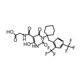 O=C(O)CNC(=O)c1c(O)[nH]c(=O)n(C2(Cc3ccc(C(F)(F)F)cc3C(F)(F)F)CCCCC2)c1=O